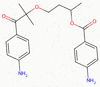 CC(CCOC(C)(C)C(=O)c1ccc(N)cc1)OC(=O)c1ccc(N)cc1